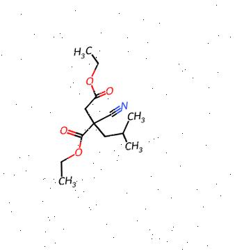 CCOC(=O)CC(C#N)(CC(C)C)C(=O)OCC